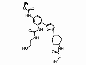 CC(C)OC(=O)Nc1ccc(-c2cnc([C@H]3CC[C@H](NC(=O)OC(C)C)CC3)s2)c(NC(=O)NCCO)c1